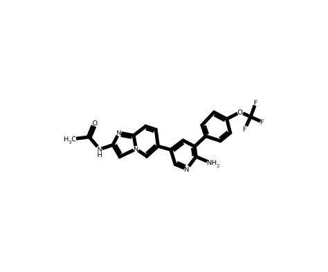 CC(=O)Nc1cn2cc(-c3cnc(N)c(-c4ccc(OC(F)(F)F)cc4)c3)ccc2n1